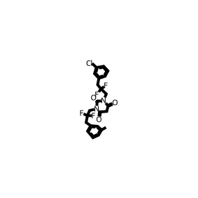 Cc1cccc(CC(F)(F)CN2C(=O)CC(=O)N(CC(F)(F)Cc3cccc(Cl)c3)C2=O)c1